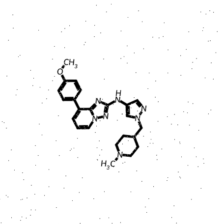 COc1ccc(-c2cccn3nc(Nc4cnn(CC5CCN(C)CC5)c4)nc23)cc1